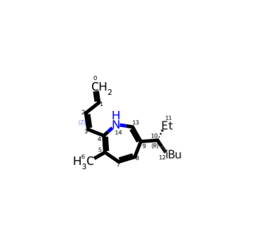 C=C/C=C\C1=C(C)C=CC([C@H](CC)C(C)CC)=CN1